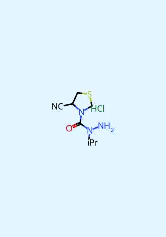 CC(C)N(N)C(=O)N1CSCC1C#N.Cl